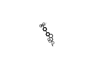 CCOC(=O)CC1CCc2cc(-c3ccc([N+](=O)[O-])cc3)ccc2C1=O